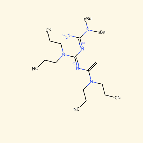 C=C(/N=C(\N=C(/N)N(CCCC)CCCC)N(CCC#N)CCC#N)N(CCC#N)CCC#N